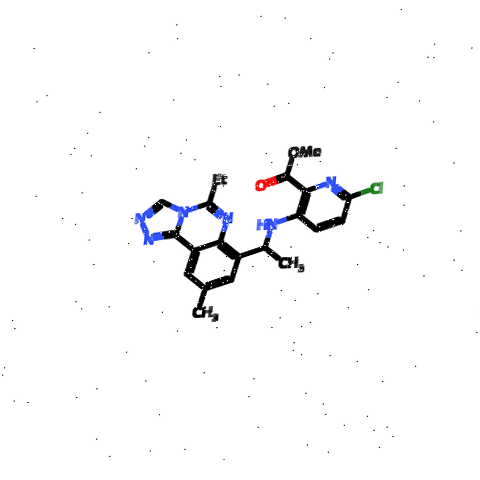 CCc1nc2c(C(C)Nc3ccc(Cl)nc3C(=O)OC)cc(C)cc2c2nncn12